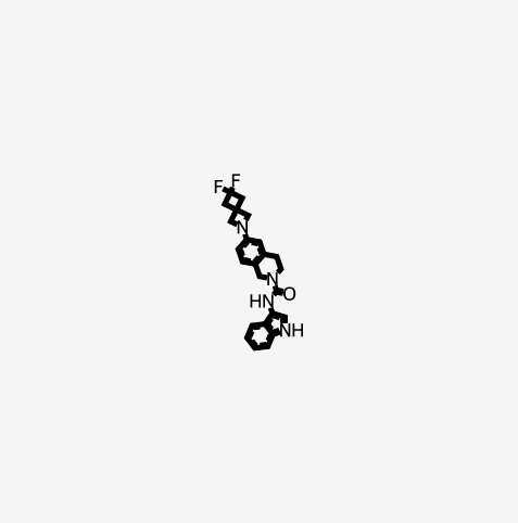 O=C(Nc1c[nH]c2ccccc12)N1CCc2cc(N3CC4(C3)CC(F)(F)C4)ccc2C1